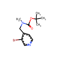 CN(Cc1ccncc1Br)C(=O)OC(C)(C)C